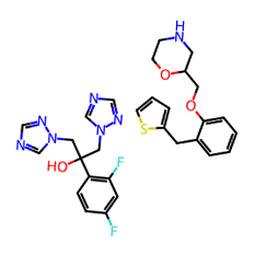 OC(Cn1cncn1)(Cn1cncn1)c1ccc(F)cc1F.c1csc(Cc2ccccc2OCC2CNCCO2)c1